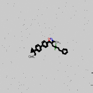 Cc1noc(-c2ccc(-c3ccc(C4(CC=O)CC4)cc3)cc2)c1CC(F)(F)CCc1ccccc1